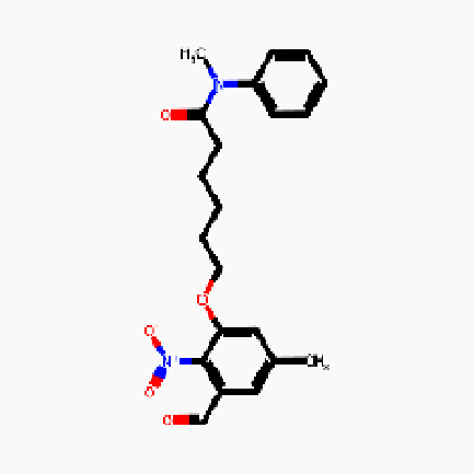 Cc1cc(C=O)c([N+](=O)[O-])c(OCCCCCC(=O)N(C)c2ccccc2)c1